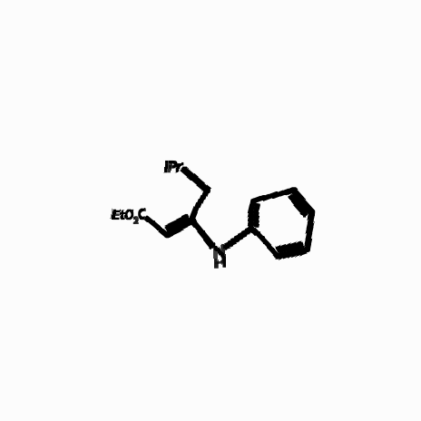 CCOC(=O)C=C(CC(C)C)Nc1ccccc1